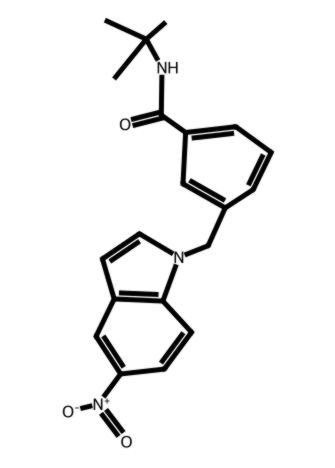 CC(C)(C)NC(=O)c1cccc(Cn2ccc3cc([N+](=O)[O-])ccc32)c1